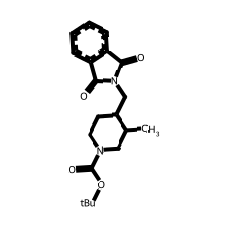 CC1CN(C(=O)OC(C)(C)C)CCC1CN1C(=O)c2ccccc2C1=O